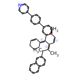 C=C\C=C/C(=C(\C)C(C)c1ccc2ccccc2c1)C(=C1/C=CCCC1)/c1cccc(-c2ccc(-c3ccncc3)cc2)c1